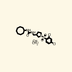 O=C(NCC1CCN(S(=O)(=O)c2ccc(Cl)cc2Cl)C1)N[C]1CCCCCCC1.[CH2].[CH2]